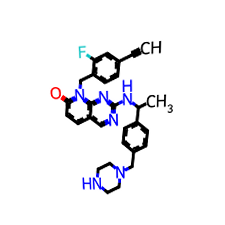 C#Cc1ccc(Cn2c(=O)ccc3cnc(NC(C)c4ccc(CN5CCNCC5)cc4)nc32)c(F)c1